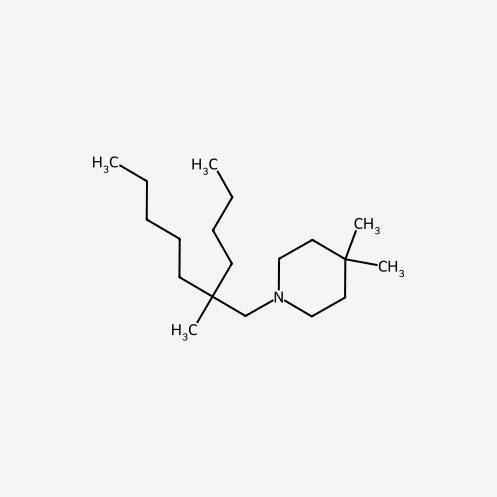 CCCCCC(C)(CCCC)CN1CCC(C)(C)CC1